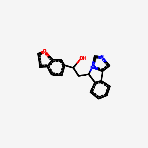 OC(CC1c2ccccc2-c2cncn21)c1ccc2ccoc2c1